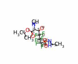 C#[N+]C(C(=O)OC(C)C)C(=O)C(F)(F)C(F)(F)C(F)(F)S(=O)(=O)NCC